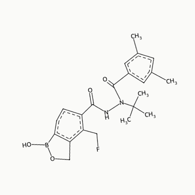 Cc1cc(C)cc(C(=O)N(NC(=O)c2ccc3c(c2CF)COB3O)C(C)(C)C)c1